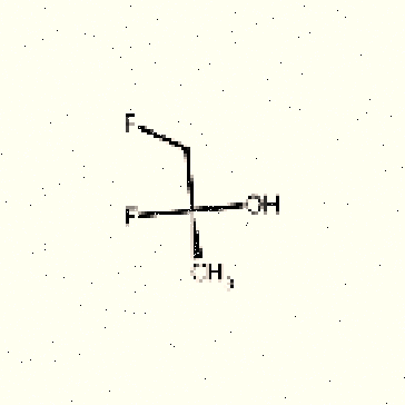 C[C@@](O)(F)CF